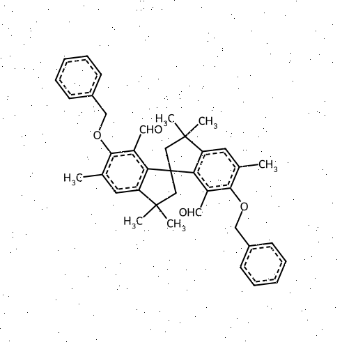 Cc1cc2c(c(C=O)c1OCc1ccccc1)C1(CC2(C)C)CC(C)(C)c2cc(C)c(OCc3ccccc3)c(C=O)c21